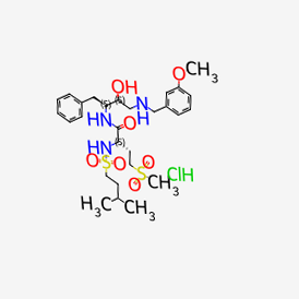 COc1cccc(CNC[C@H](O)[C@H](Cc2ccccc2)NC(=O)[C@H](CCS(C)(=O)=O)NS(=O)(=O)CCC(C)C)c1.Cl